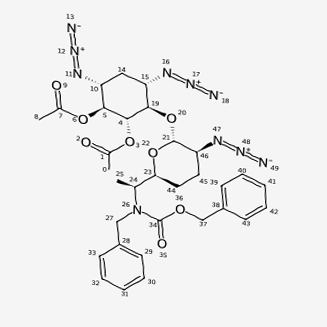 CC(=O)O[C@@H]1[C@@H](OC(C)=O)[C@H](N=[N+]=[N-])C[C@H](N=[N+]=[N-])[C@H]1O[C@H]1O[C@H]([C@H](C)N(Cc2ccccc2)C(=O)OCc2ccccc2)CC[C@@H]1N=[N+]=[N-]